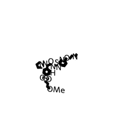 COCCCS(=O)(=O)c1ccc(/C(=N\N2CCCC2)C(=O)Nc2nc3ccc(OCCN(C)C)nc3s2)cc1